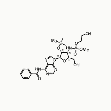 COP(=O)(N[C@H]1[C@@H](O[Si](C)(C)C(C)(C)C)[C@H](n2cnc3c(NC(=O)c4ccccc4)ncnc32)O[C@@H]1CO)OCCC#N